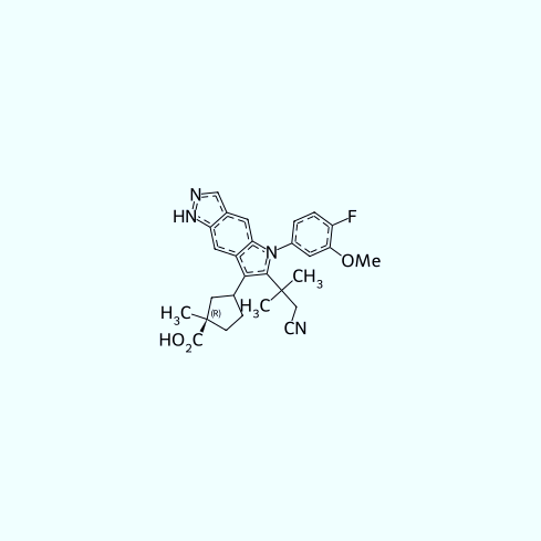 COc1cc(-n2c(C(C)(C)CC#N)c(C3CC[C@@](C)(C(=O)O)C3)c3cc4[nH]ncc4cc32)ccc1F